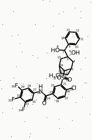 C[C@H]1CC2C[C@](O)(C(O)c3ccccc3)CC1C2S(=O)(=O)c1cc(C(=O)Nc2cc(F)c(F)c(F)c2)ccc1Cl